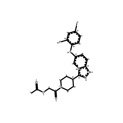 CC(=O)OCC(=O)N1CCC(c2nnc3ccc(Sc4ccc(F)cc4F)cn23)CC1